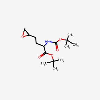 CC(C)(C)OC(=O)NC(CCC1CO1)C(=O)OC(C)(C)C